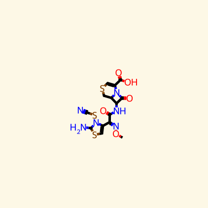 CON=C(C(=O)NC1C(=O)N2C(C(=O)O)=CSCC12)C1=CSC(N)N1SC#N